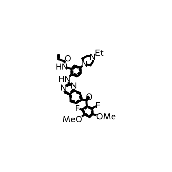 C=CC(=O)Nc1cc(N2CCN(CC)CC2)ccc1Nc1ncc2ccc(C(=O)c3c(F)c(OC)cc(OC)c3F)cc2n1